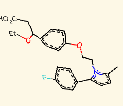 CCOC(CC(=O)O)c1ccc(OCCn2c(C)ccc2-c2ccc(F)cc2)cc1